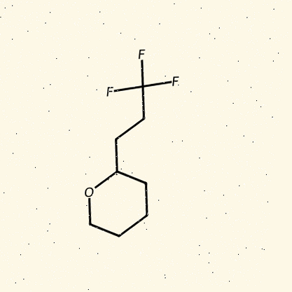 FC(F)(F)CC[C]1CCCCO1